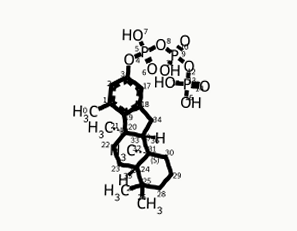 Cc1cc(OP(=O)(O)OP(=O)(O)OP(=O)(O)O)cc2c1[C@]1(C)CC[C@H]3C(C)(C)CCC[C@]3(C)[C@H]1C2